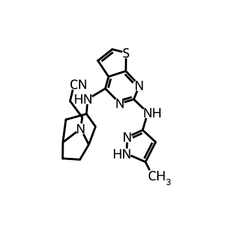 Cc1cc(Nc2nc(NC3CC4CCC(C3)N4CCC#N)c3ccsc3n2)n[nH]1